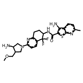 COCC1CN(c2ccc3c(n2)CCC(NC(=O)c2sc4nc(C)ccc4c2N)C3(F)F)CC1N